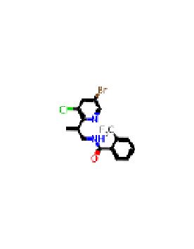 C=C(CNC(=O)c1ccccc1C(F)(F)F)c1ncc(Br)cc1Cl